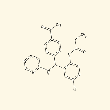 CCC(=O)Oc1ccc(Cl)cc1C(Nc1ccccn1)c1ccc(C(=O)O)cc1